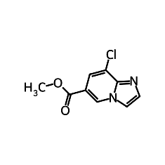 COC(=O)c1cc(Cl)c2nccn2c1